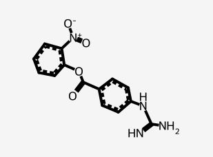 N=C(N)Nc1ccc(C(=O)Oc2ccccc2[N+](=O)[O-])cc1